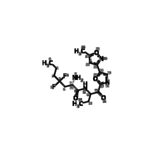 CCCC(F)(F)C[C@H](N)C(=O)NC(CC)C(=O)c1ncc(-c2cc(C)on2)o1